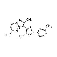 Cc1cccc(-c2cc(C)c(-c3c(C)nc4ccc(C)nn34)s2)n1